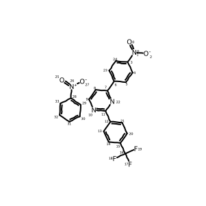 O=[N+]([O-])c1ccc(-c2ccnc(-c3ccc(C(F)(F)F)cc3)n2)cc1.O=[N+]([O-])c1ccccc1